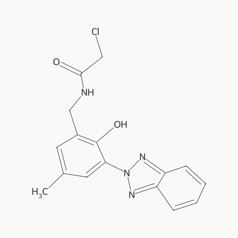 Cc1cc(CNC(=O)CCl)c(O)c(-n2nc3ccccc3n2)c1